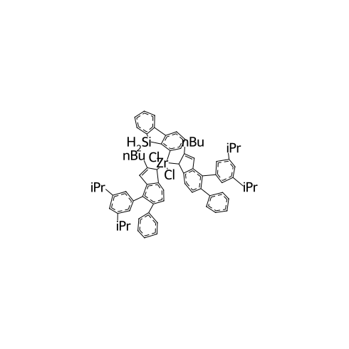 CCCCC1=Cc2c(ccc(-c3ccccc3)c2-c2cc(C(C)C)cc(C(C)C)c2)[CH]1[Zr]([Cl])([Cl])([c]1cccc2c1[SiH2]c1ccccc1-2)[CH]1C(CCCC)=Cc2c1ccc(-c1ccccc1)c2-c1cc(C(C)C)cc(C(C)C)c1